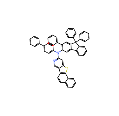 c1ccc(-c2ccc(N(c3cc4sc5c6ccccc6ccc5c4cn3)c3cc4c(cc3-c3ccccc3)C(c3ccccc3)(c3ccccc3)c3ccccc3-4)cc2)cc1